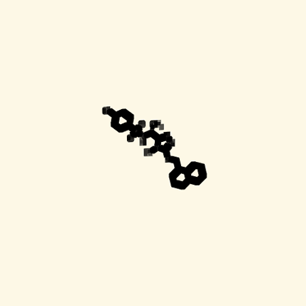 CCn1c(SCc2cccc3ccccc23)nnc1[C@@H](C)NS(=O)(=O)c1ccc(Cl)cc1